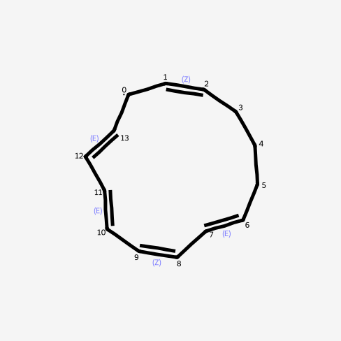 [CH]1/C=C\CCC/C=C/C=C\C=C\C=C\1